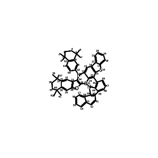 CC1(C)CCC(C)(C)c2cc(N3c4cc5c(sc6ccccc65)c5c4B(c4oc6cc7c(cc6c43)C(C)(C)CCC7(C)C)n3c4c-5cccc4c4ccc5ccccc5c43)ccc21